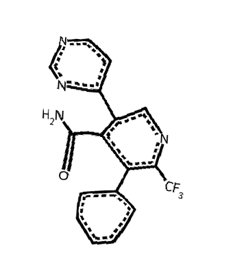 NC(=O)c1c(-c2ccncn2)cnc(C(F)(F)F)c1-c1ccccc1